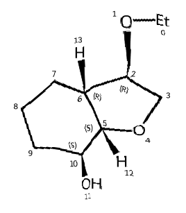 CCO[C@H]1CO[C@H]2[C@@H]1CCC[C@@H]2O